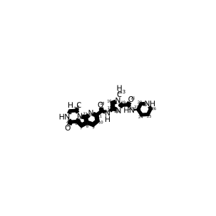 CC1CNC(=O)c2cc3ccc(C(=O)Nc4cn(C)c(C(=O)N[C@@H]5CCCNC5)n4)nc3n21